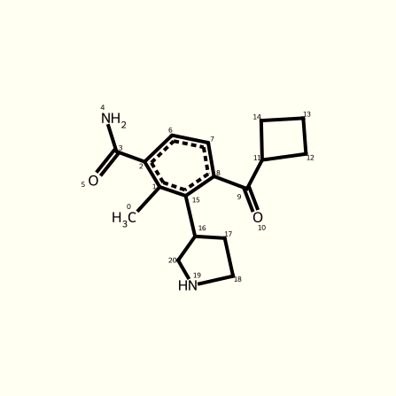 Cc1c(C(N)=O)ccc(C(=O)C2CCC2)c1C1CCNC1